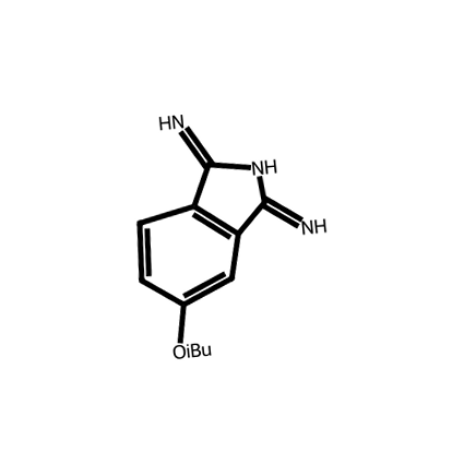 CC(C)COc1ccc2c(c1)C(=N)NC2=N